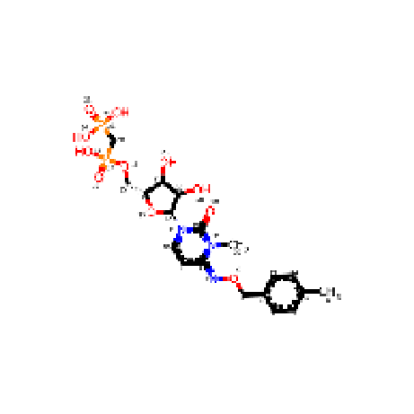 Cc1ccc(CO/N=c2/ccn([C@@H]3O[C@H](COP(=O)(O)CP(=O)(O)O)C(O)C3O)c(=O)n2C)cc1